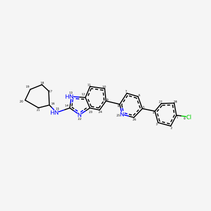 Clc1ccc(-c2ccc(-c3ccc4[nH]c(NC5CCCCC5)nc4c3)nc2)cc1